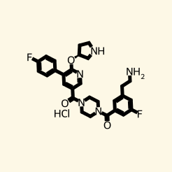 Cl.NCCc1cc(F)cc(C(=O)N2CCN(C(=O)c3cnc(O[C@H]4CCNC4)c(-c4ccc(F)cc4)c3)CC2)c1